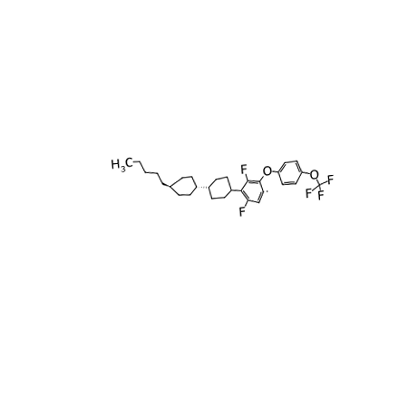 CCCCC[C@H]1CC[C@H](C2CCC(c3c(F)c[c]c(Oc4ccc(OC(F)(F)F)cc4)c3F)CC2)CC1